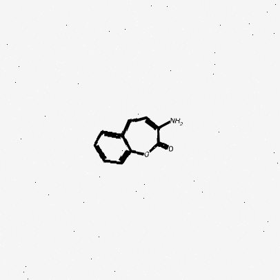 NC1=CCc2ccccc2OC1=O